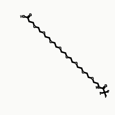 O=C(O)CCOCCOCCOCCOCCOCCOCCOCCOCCNC(=O)C(F)(F)F